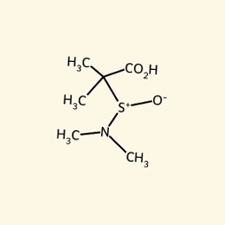 CN(C)[S+]([O-])C(C)(C)C(=O)O